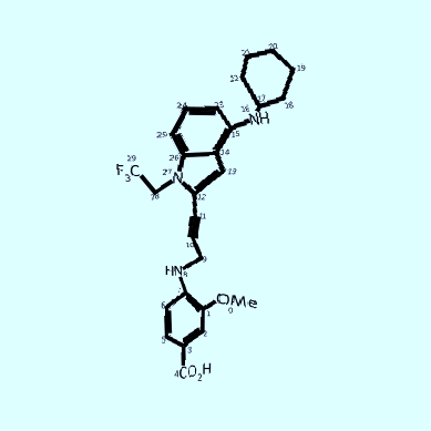 COc1cc(C(=O)O)ccc1NCC#Cc1cc2c(NC3CCCCC3)cccc2n1CC(F)(F)F